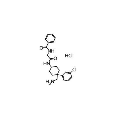 Cl.NCC1(c2cccc(Cl)c2)CCC(NC(=O)CNC(=O)c2ccccc2)CC1